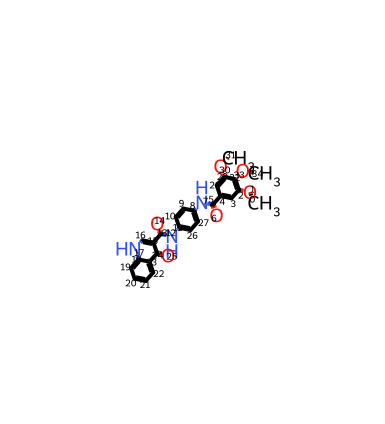 COc1cc(C(=O)Nc2ccc(NC(=O)c3c[nH]c4ccccc4c3=O)cc2)cc(OC)c1OC